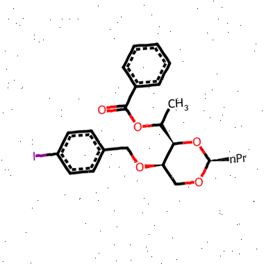 CCC[C@H]1OC[C@@H](OCc2ccc(I)cc2)[C@@H](C(C)OC(=O)c2ccccc2)O1